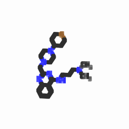 CN(C)CCCNc1nc(CN2CCN(C3CCSCC3)CC2)nc2ccccc12